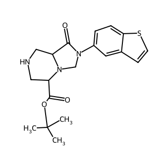 CC(C)(C)OC(=O)C1CNCC2C(=O)N(c3ccc4sccc4c3)CN12